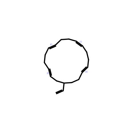 C=CC1C/C=C/CC/C=C/CC/C=C\CC/C=C/CC1